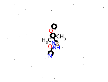 Cc1cc(Oc2ccccc2)cc(C)c1-c1csc(NC(=O)c2ccncc2)n1